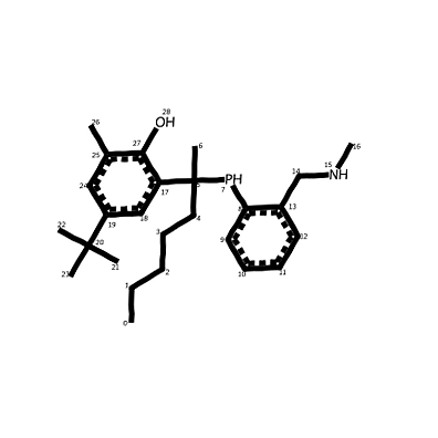 CCCCCC(C)(Pc1ccccc1CNC)c1cc(C(C)(C)C)cc(C)c1O